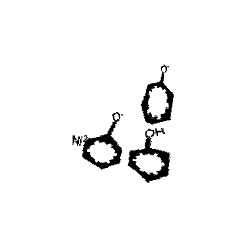 Oc1ccccc1.[Ni+2].[O-]c1ccccc1.[O-]c1ccccc1